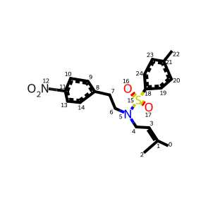 CC(C)=CCN(CCc1ccc([N+](=O)[O-])cc1)S(=O)(=O)c1ccc(C)cc1